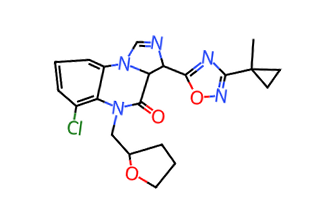 CC1(c2noc(C3N=CN4c5cccc(Cl)c5N(CC5CCCO5)C(=O)C34)n2)CC1